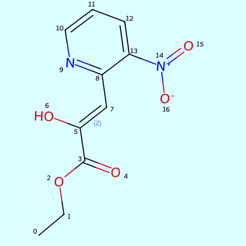 CCOC(=O)/C(O)=C/c1ncccc1[N+](=O)[O-]